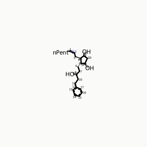 CCCCC/C=C\C[C@@H]1[C@@H](CC[C@@H](O)CCc2ccccc2)[C@H](O)C[C@@H]1O